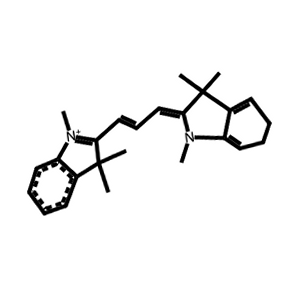 CN1C2=CCCC=C2C(C)(C)C1=CC=CC1=[N+](C)c2ccccc2C1(C)C